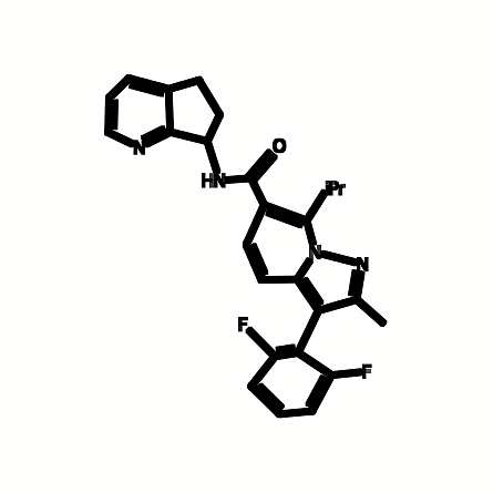 Cc1nn2c(C(C)C)c(C(=O)NC3CCc4cccnc43)ccc2c1-c1c(F)cccc1F